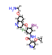 C[C@H](N)COc1ccc2c(Oc3c(F)cc(NC(=O)c4cnccc4OC4CC4)cc3P)ccnc2c1